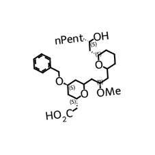 CCCCC[C@H](O)C[C@@H]1CCCC(C[C@H](CC2C[C@H](OCc3ccccc3)C[C@@H](CC(=O)O)O2)OC)O1